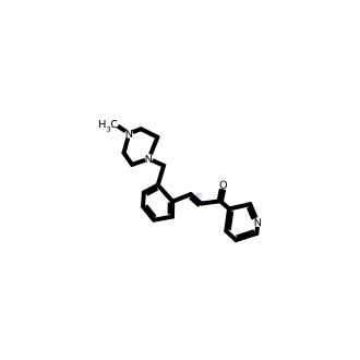 CN1CCN(Cc2ccccc2/C=C/C(=O)c2cccnc2)CC1